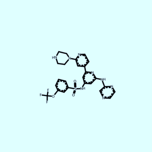 O=S(=O)(Nc1cc(Nc2cnccn2)nc(-c2ccnc(N3CCNCC3)c2)c1)c1cccc(OC(F)(F)F)c1